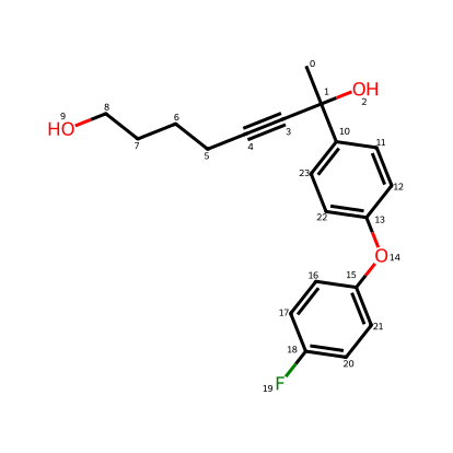 CC(O)(C#CCCCCO)c1ccc(Oc2ccc(F)cc2)cc1